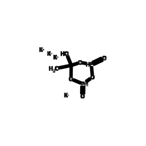 CC1(O)O[PH](=O)O[PH](=O)O1.[K].[K].[K].[K]